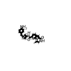 CC1CNC(=O)c2cc3ccc(C(=O)Nc4cnn(Cc5ccc(N)cc5)c4)nc3n21